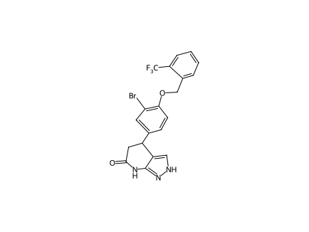 O=C1CC(c2ccc(OCc3ccccc3C(F)(F)F)c(Br)c2)c2c[nH]nc2N1